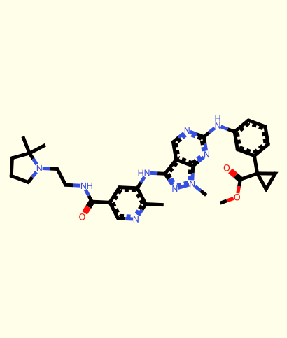 COC(=O)C1(c2cccc(Nc3ncc4c(Nc5cc(C(=O)NCCN6CCCC6(C)C)cnc5C)nn(C)c4n3)c2)CC1